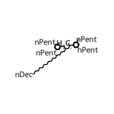 CCCCCCCCCCCCCCCCCCCCCCCCCC([CH]C(C)c1cc(CCCCC)cc(CCCCC)c1)Cc1cc(CCCCC)cc(CCCCC)c1